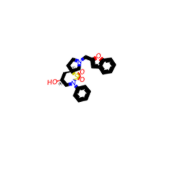 O=S1(=O)N(c2ccccc2)C[C@H](O)C[C@]12CCN(Cc1cc3ccccc3o1)C2